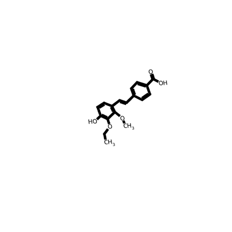 CCOc1c(O)ccc(C=Cc2ccc(C(=O)O)cc2)c1OC